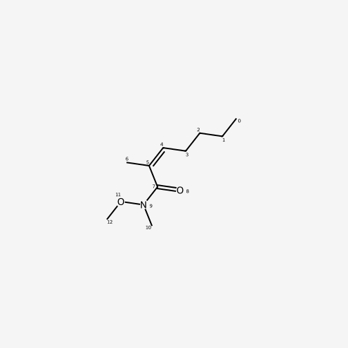 CCCCC=C(C)C(=O)N(C)OC